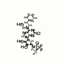 CCCN(C(=O)C(F)(F)F)[C@H]1C[C@@H](n2cnc3c(N(CO)CCc4ccccc4)nc(Cl)nc32)[C@H](O)[C@@H]1O